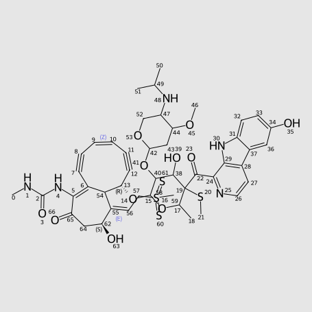 CNC(=O)NC1=C2C#C/C=C\C#C[C@H](OC3OC(C)C(SC)(C(=O)c4nccc5c4[nH]c4ccc(O)cc45)C(O)C3OC3CC(OC)C(NC(C)C)CO3)C2/C(=C\CS(C)(=S)=S)[C@@H](O)CC1=O